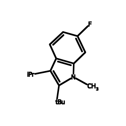 CC(C)c1c(C(C)(C)C)n(C)c2cc(F)ccc12